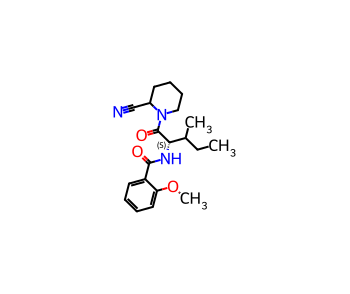 CCC(C)[C@H](NC(=O)c1ccccc1OC)C(=O)N1CCCCC1C#N